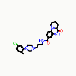 Cc1ccc(Cl)cc1N1CCN(CCCNC(=O)c2ccc3c(c2)NC(=O)C2CCCCN32)CC1